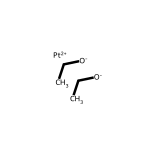 CC[O-].CC[O-].[Pt+2]